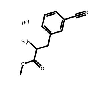 COC(=O)C(N)Cc1cccc(C#N)c1.Cl